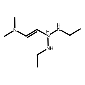 CCN[SiH](C=CN(C)C)NCC